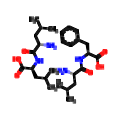 CC(C)C[C@H](N)C(=O)N[C@@H](Cc1ccccc1)C(=O)O.CC(C)C[C@H](NC(=O)[C@@H](N)CC(C)C)C(=O)O